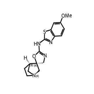 COc1ccc2nc(NC3=NC[C@@]4(C[N@@]5CC[C@@H]4C5)O3)sc2c1